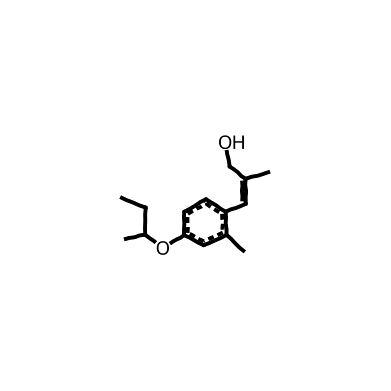 CCC(C)Oc1ccc(C=C(C)CO)c(C)c1